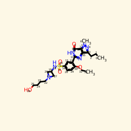 CCCc1nn(C)c2c(=O)[nH]c(-c3cc(S(=O)(=O)NC4CN(CCCCO)C4)ccc3OCC)nc12